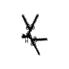 CCCCCCCCCCCCOC(=O)CCN(CCCOc1nc(NCCN(CC)CC)nc(OCCCN(CCC(=O)OCCCCCCCCCCCC)CCC(=O)OCCCCCCCCCCCC)n1)CCC(=O)OCCCCCCCCCCCC